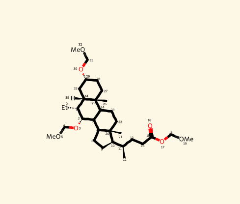 CC[C@H]1[C@@H](OCOC)C2C3CC[C@H]([C@H](C)CCC(=O)OCOC)[C@@]3(C)CCC2[C@@]2(C)CC[C@@H](OCOC)C[C@@H]12